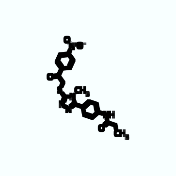 CCC(=O)Nc1ccc(-c2nnc(SCC(=O)c3ccc([N+](=O)[O-])cc3)n2C)cc1